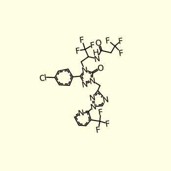 O=C(CC(F)(F)F)NC(Cn1c(-c2ccc(Cl)cc2)nn(Cc2ncn(-c3ncccc3C(F)(F)F)n2)c1=O)C(F)(F)F